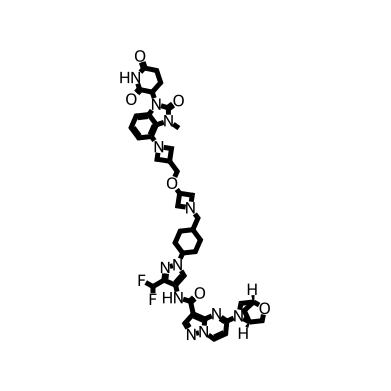 Cn1c(=O)n(C2CCC(=O)NC2=O)c2cccc(N3CC(COC4CN(CC5CCC(n6cc(NC(=O)c7cnn8ccc(N9C[C@H]%10C[C@@H]9CO%10)nc78)c(C(F)F)n6)CC5)C4)C3)c21